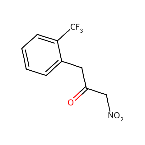 O=C(Cc1ccccc1C(F)(F)F)C[N+](=O)[O-]